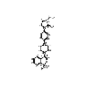 CCN1CCN(c2ccc(N3CCN(C(=O)c4ccccc4C(F)(F)F)CC3)nn2)C1=O